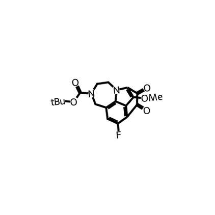 COc1c2n3c4c(cc(F)c(c14)C(=O)C2=O)CN(C(=O)OC(C)(C)C)CC3